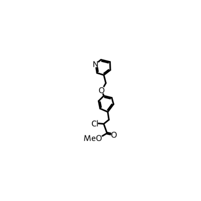 COC(=O)C(Cl)Cc1ccc(OCc2cccnc2)cc1